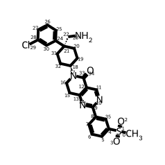 CS(=O)(=O)c1cccc(-c2ncc3c(n2)CCN([C@H]2CC[C@](CN)(c4cccc(Cl)c4)CC2)C3=O)c1